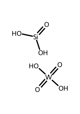 O=[Si](O)O.[O]=[W](=[O])([OH])[OH]